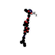 C=C1/C=C\C=C/CN(c2ccc3ccccc3c2)c2ccc(-c3ccc(/C=C/c4ccc(-c5ccc6c(c5)C5(c7ccccc7-c7ccccc75)c5cc(-c7ccc8c(c7)C7(c9ccccc9-c9ccccc97)c7cc(-c9ccc(/C=C/c%10ccc(-c%11ccc%12c(c%11)c%11ccccc%11n%12-c%11ccc%12ccccc%12c%11)cc%10)cc9)ccc7-8)ccc5-6)cc4)cc3)cc21